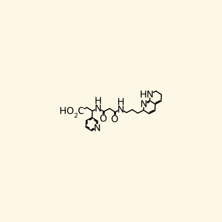 O=C(O)CC(NC(=O)CC(=O)NCCCC1C=CC2=CCCNC2=N1)c1cccnc1